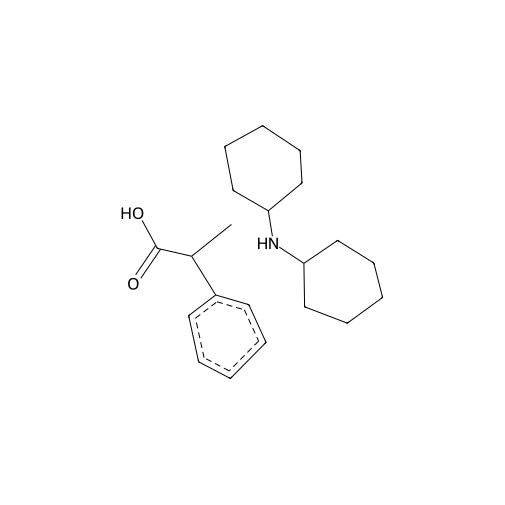 C1CCC(NC2CCCCC2)CC1.CC(C(=O)O)c1ccccc1